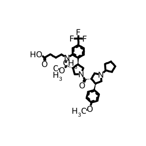 COC[C@H]1CN(C(=O)[C@@H]2CN(C3CCCC3)C[C@H]2c2ccc(OC)cc2)C[C@@H]1c1ccc(C(F)(F)F)cc1N(C)CCCC(=O)O